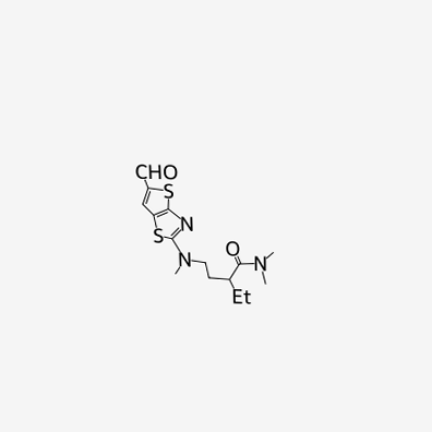 CCC(CCN(C)c1nc2sc(C=O)cc2s1)C(=O)N(C)C